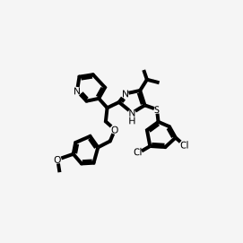 COc1ccc(COCC(c2cccnc2)c2nc(C(C)C)c(Sc3cc(Cl)cc(Cl)c3)[nH]2)cc1